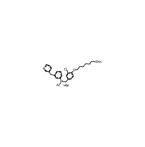 Br.CCCCCCCCCCCCCCCCOc1ccc(CN(C(C)=O)c2cccc(Cc3cccnc3)c2)cc1Cl